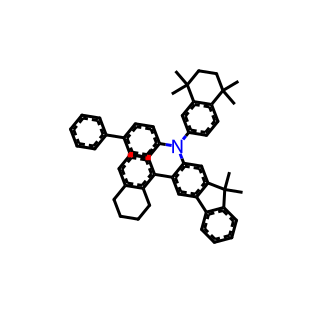 Cc1ccc2c(c1-c1cc3c(cc1N(c1ccc(-c4ccccc4)cc1)c1ccc4c(c1)C(C)(C)CCC4(C)C)C(C)(C)c1ccccc1-3)CCCC2